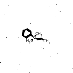 CC=C[Si](C)(C)c1ccccc1